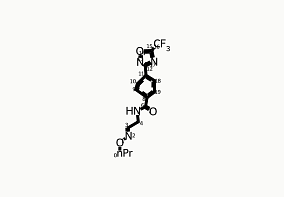 CCCON=CCNC(=O)c1ccc(-c2noc(C(F)(F)F)n2)cc1